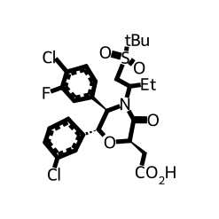 CCC(CS(=O)(=O)C(C)(C)C)N1C(=O)[C@@H](CC(=O)O)O[C@H](c2cccc(Cl)c2)[C@H]1c1ccc(Cl)c(F)c1